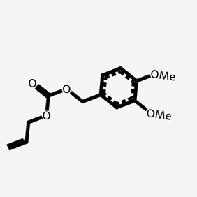 C=CCOC(=O)OCc1ccc(OC)c(OC)c1